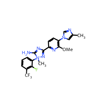 COc1nc(C2=N[N+](C)(c3cccc(C(F)(F)F)c3F)C(N)=N2)ccc1-n1cnc(C)c1